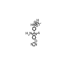 CC(C)NS(=O)(=O)Nc1ccc(-c2c(N)c3ccc(Oc4cnccn4)cc3n2C2CC2)cc1